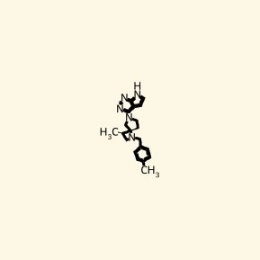 Cc1ccc(CN2C[C@H](C)[C@@]23CCN(c2ncnc4[nH]ccc24)C3)cc1